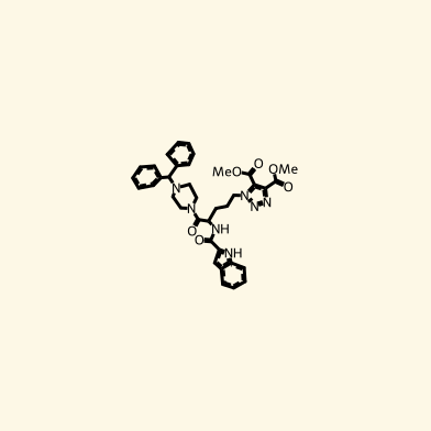 COC(=O)c1nnn(CCCC(NC(=O)c2cc3ccccc3[nH]2)C(=O)N2CCN(C(c3ccccc3)c3ccccc3)CC2)c1C(=O)OC